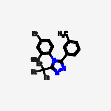 CCc1ccc(-n2c(-c3cccc(C)c3)nnc2C(CC)(CC)CC)c(C(C)(C)C)c1